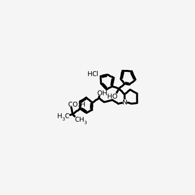 CC(C)(C(=O)O)c1ccc(C(O)CCCN2CCCCC2C(O)(c2ccccc2)c2ccccc2)cc1.Cl